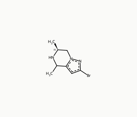 CC1N[C@@H](C)Cn2nc(Br)cc21